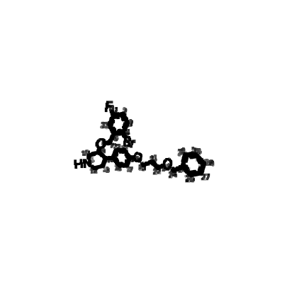 Fc1ccc(Br)c(COC2CNCCC2c2ccc(OCCCOCc3ccccc3)cc2)c1